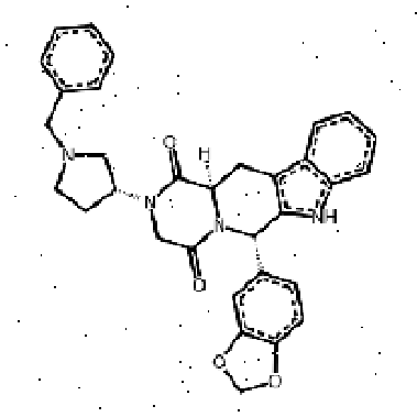 O=C1[C@H]2Cc3c([nH]c4ccccc34)[C@H](c3ccc4c(c3)OCO4)N2C(=O)CN1[C@@H]1CCN(Cc2ccccc2)C1